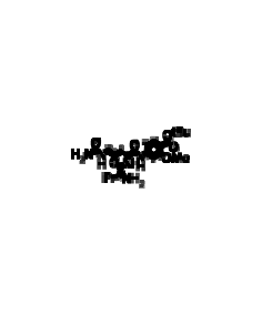 COc1cc(NC(=O)[C@H](CCCNC(N)=O)NC(=O)[C@@H](N)C(C)C)ccc1C(=O)OC(C)(C)C